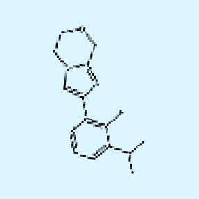 CC(C)c1cccc(-c2cn3c(n2)COCC3)c1F